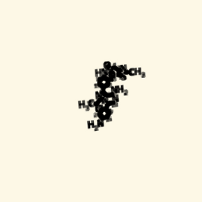 Cc1nc(CS(=O)(=O)Nc2ccc(-c3nc(C(C)C)n4c(-c5ccc(N)cc5)cnc(N)c34)cc2F)cs1